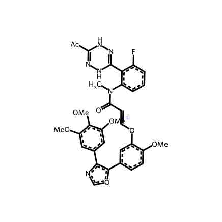 COc1ccc(-c2ocnc2-c2cc(OC)c(OC)c(OC)c2)cc1O/C=C/C(=O)N(C)c1cccc(F)c1C1=NNC(C(C)=O)=NN1